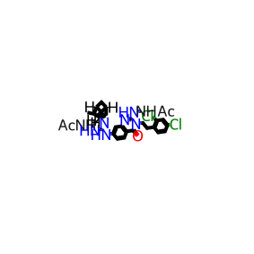 CC(=O)NNC(=N[C@H]1C[C@@H]2C[C@H]([C@@H]1C)C2(C)C)Nc1ccc2c(=O)n(CCc3ccc(Cl)cc3Cl)c(NNC(C)=O)nc2c1